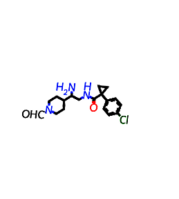 NC(CNC(=O)C1(c2ccc(Cl)cc2)CC1)C1CCN(C=O)CC1